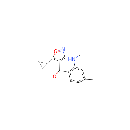 CNc1cc(C)ccc1C(=O)c1cnoc1C1CC1